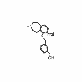 Cl.OCc1cccc(CSc2c(Cl)ccc3c2CCNCC3)c1